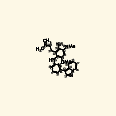 CNc1cc(OC)c(Nc2nccc(-c3cnn4ccccc34)n2)c(CCN(C)C)c1N